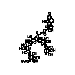 COCC1OC(OCC2OC(OCC3OC(OCC4OC(OCC5OC(C)C(O)C(O)C5O)C(O)C(O)C4O)C(COC(=O)CCC(=O)OCC(=O)[C@@]4(O)[C@H](C)CC5C6CCC7=CC(=O)C=CC7(C)[C@@]6(F)C(O)CC54C)C(O)C3O)C(O)C(O)C2O)C(O)C(O)C1O